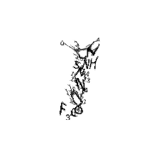 Cc1cc(C)nc(NC(=S)N2CCN(Cc3cccc(OC(F)(F)F)c3)CC2)c1